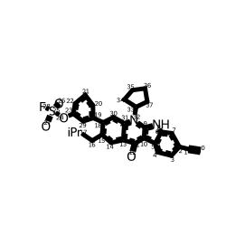 C#Cc1ccc2c(c1)[nH]c1c2c(=O)c2cc(CC(C)C)c(-c3cccc(OS(=O)(=O)F)c3)cc2n1C1CCCC1